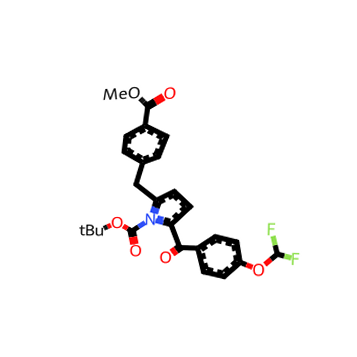 COC(=O)c1ccc(Cc2ccc(C(=O)c3ccc(OC(F)F)cc3)n2C(=O)OC(C)(C)C)cc1